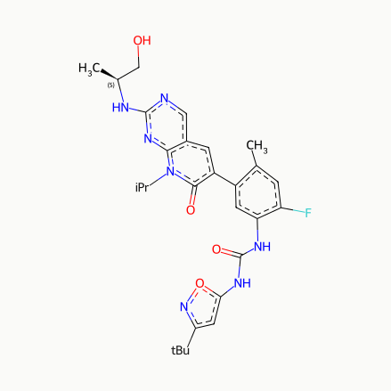 Cc1cc(F)c(NC(=O)Nc2cc(C(C)(C)C)no2)cc1-c1cc2cnc(N[C@@H](C)CO)nc2n(C(C)C)c1=O